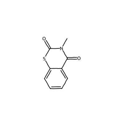 Cn1c(=O)sc2ccccc2c1=O